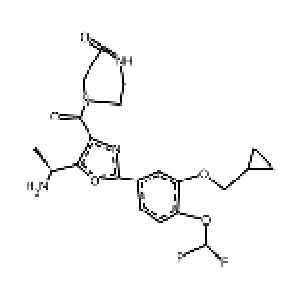 C[C@H](N)c1oc(-c2ccc(OC(F)F)c(OCC3CC3)c2)nc1C(=O)N1CCNC(=O)C1